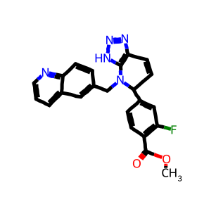 COC(=O)c1ccc(C2C=Cc3nn[nH]c3N2Cc2ccc3ncccc3c2)cc1F